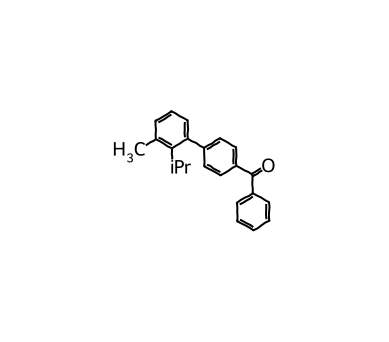 Cc1cccc(-c2ccc(C(=O)c3ccccc3)cc2)c1C(C)C